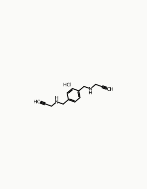 C#CCNCc1ccc(CNCC#C)cc1.Cl